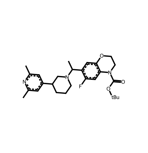 Cc1cc(C2CCCN(C(C)c3cc4c(cc3F)N(C(=O)OC(C)(C)C)CCO4)C2)cc(C)n1